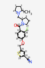 CC1CCCN1CC1CCCN1C(=O)c1ccc(OCc2cc(C#N)cs2)cc1F